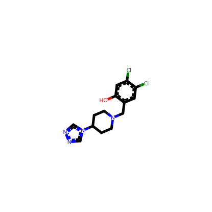 Oc1cc(Cl)c(Cl)cc1CN1CCC(n2cnnc2)CC1